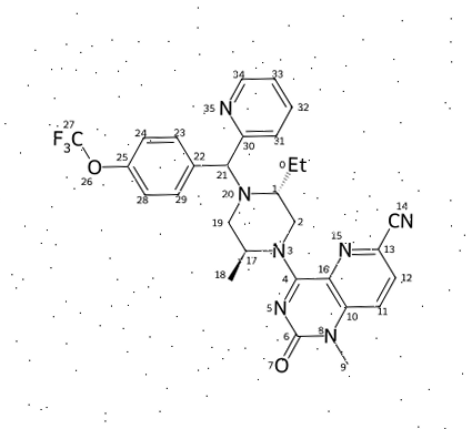 CC[C@@H]1CN(c2nc(=O)n(C)c3ccc(C#N)nc23)[C@@H](C)CN1C(c1ccc(OC(F)(F)F)cc1)c1ccccn1